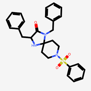 O=C1C(Cc2ccccc2)NC2(CCN(S(=O)(=O)c3ccccc3)CC2)N1Cc1ccccc1